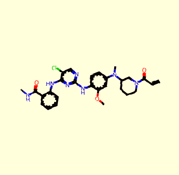 C=CC(=O)N1CCCC(N(C)c2ccc(Nc3ncc(Cl)c(Nc4ccccc4C(=O)NC)n3)c(OC)c2)C1